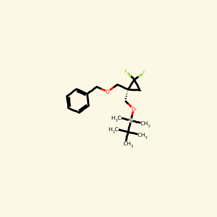 CC(C)(C)[Si](C)(C)OC[C@@]1(COCc2ccccc2)CC1(F)F